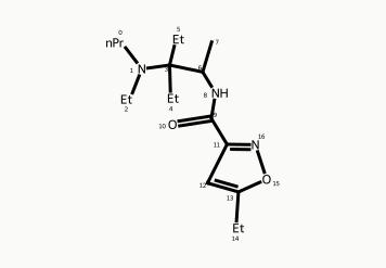 CCCN(CC)C(CC)(CC)C(C)NC(=O)c1cc(CC)on1